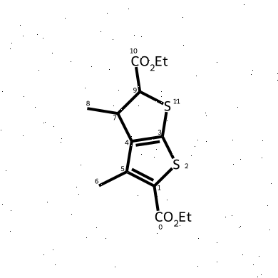 CCOC(=O)c1sc2c(c1C)C(C)C(C(=O)OCC)S2